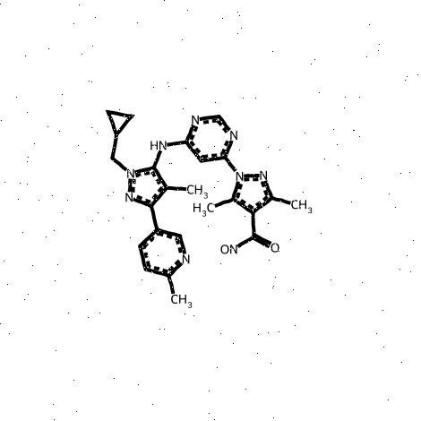 Cc1ccc(-c2nn(CC3CC3)c(Nc3cc(-n4nc(C)c(C(=O)N=O)c4C)ncn3)c2C)cn1